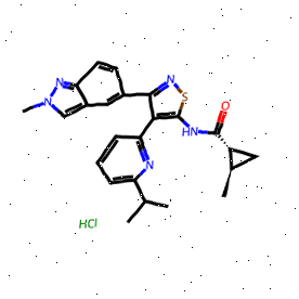 CC(C)c1cccc(-c2c(-c3ccc4nn(C)cc4c3)nsc2NC(=O)[C@@H]2C[C@H]2C)n1.Cl